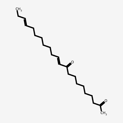 CC/C=C/CCCCCC/C=C/C(=O)CCCCCCCC(C)=O